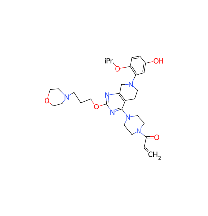 C=CC(=O)N1CCN(c2nc(OCCCN3CCOCC3)nc3c2CCN(c2cc(O)ccc2OC(C)C)C3)CC1